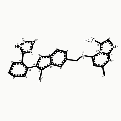 Cc1cc(NCc2ccc3oc(-c4ccccc4-c4nnn[nH]4)c(Br)c3c2)n2c(C(=O)O)cnc2n1